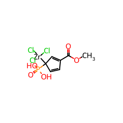 COC(=O)C1=C[C](P(=O)(O)O)([Zr]([Cl])([Cl])[Cl])C=C1